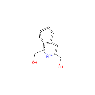 OCc1cc2ccccc2c(CO)n1